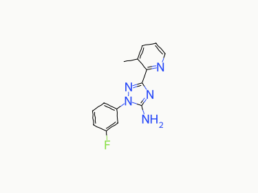 Cc1cccnc1-c1nc(N)n(-c2cccc(F)c2)n1